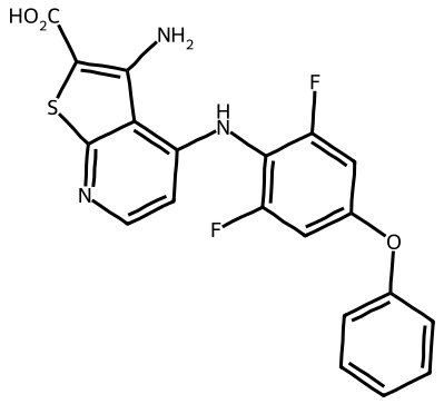 Nc1c(C(=O)O)sc2nccc(Nc3c(F)cc(Oc4ccccc4)cc3F)c12